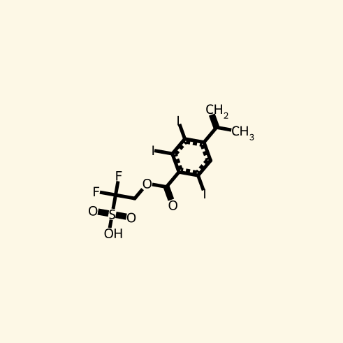 C=C(C)c1cc(I)c(C(=O)OCC(F)(F)S(=O)(=O)O)c(I)c1I